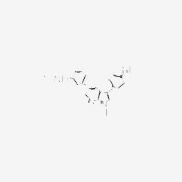 CC(=O)Nc1cccc(-c2cnc3[nH]cc(-c4ccc(N)cc4)c3c2)c1